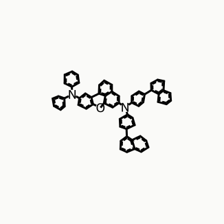 c1ccc(N(c2ccccc2)c2ccc3c(c2)-c2cccc4cc(N(c5ccc(-c6cccc7ccccc67)cc5)c5ccc(-c6cccc7ccccc67)cc5)cc(c24)O3)cc1